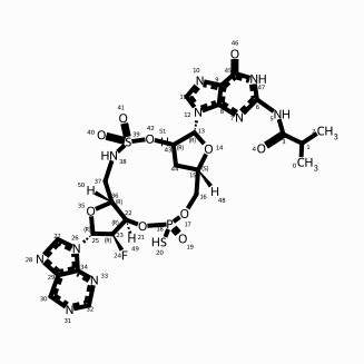 CC(C)C(=O)Nc1nc2c(ncn2[C@@H]2O[C@@H]3COP(=O)(S)O[C@H]4[C@@H](F)[C@H](n5cnc6cncnc65)O[C@@H]4CNS(=O)(=O)O[C@@H]2C3)c(=O)[nH]1